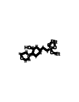 CCO[Si](CCC1CCC(N2CCOCC2)C(O)C1)(OCC)OCC